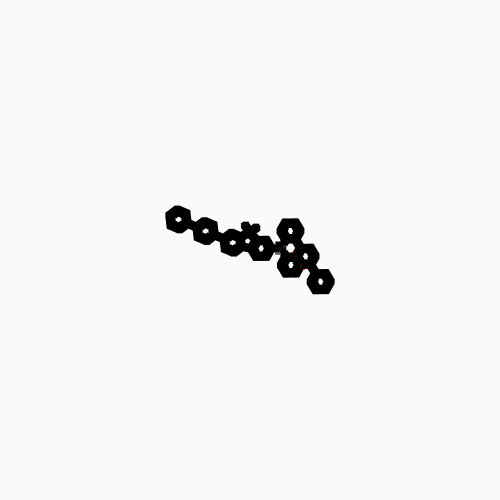 CC1(C)c2cc(-c3ccc(-c4ccccc4)cc3)ccc2-c2ccc(N(c3ccccc3)c3ccccc3-c3ccc(-c4ccccc4)cc3)cc21